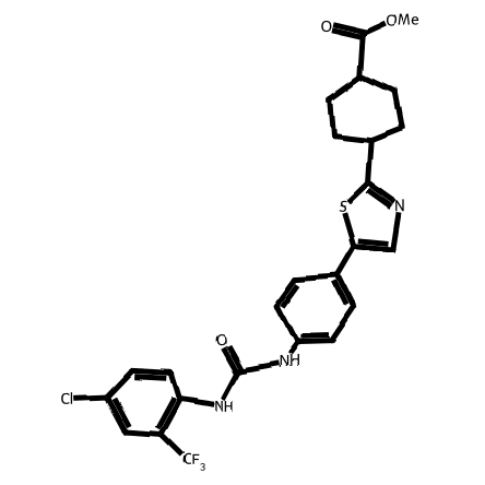 COC(=O)C1CCC(c2ncc(-c3ccc(NC(=O)Nc4ccc(Cl)cc4C(F)(F)F)cc3)s2)CC1